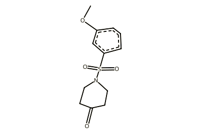 COc1cccc(S(=O)(=O)N2CCC(=O)CC2)c1